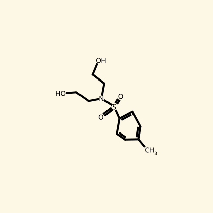 Cc1ccc(S(=O)(=O)N(CCO)CCO)cc1